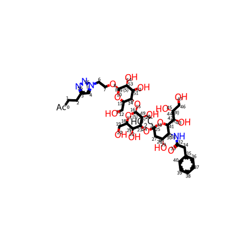 CC(=O)CCc1cn(CCO[C@@H]2OC(CO)[C@@H](O[C@@H]3OC(CO)[C@H](O)C(O[C@]4(C(=O)O)C[C@@H](O)[C@@H](NC(=O)Cc5ccccc5)C([C@H](O)[C@H](O)CO)O4)[C@@H]3O)C(O)[C@@H]2O)nn1